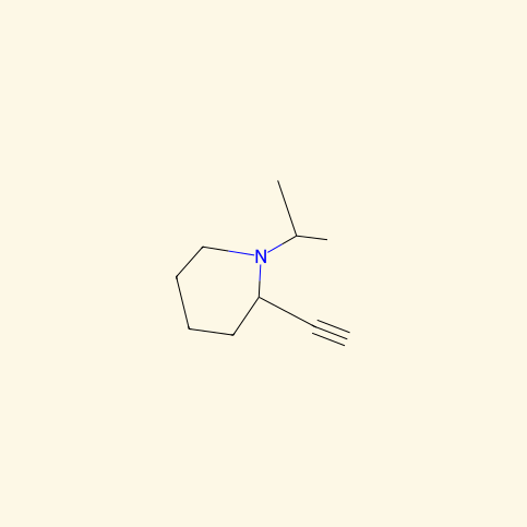 C#CC1CCCCN1C(C)C